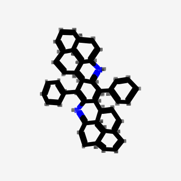 c1ccc(-c2c3nc4ccc5cccc6ccc(c3c(-c3ccccc3)c3nc7ccc8cccc9ccc(c23)c7c89)c4c56)cc1